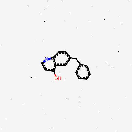 Oc1ccnc2ccc(Cc3ccccc3)cc12